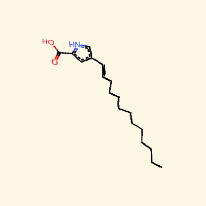 CCCCCCCCCCCC=Cc1c[nH]c(C(=O)O)c1